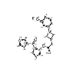 O=C(CC1CN(c2ccnc(C(F)(F)F)c2)C1)Oc1cncn1C(=O)n1ccnc1